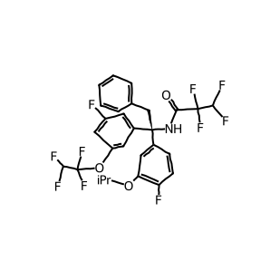 CC(C)Oc1cc([C@@](Cc2ccccc2)(NC(=O)C(F)(F)C(F)F)c2cc(F)cc(OC(F)(F)C(F)F)c2)ccc1F